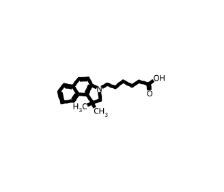 CC1(C)CN(CCCCCC(=O)O)c2ccc3ccccc3c21